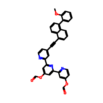 COc1ccccc1-c1cccc2c(C#Cc3ccnc(-c4cc(OC=O)cc(-c5cc(OC=O)ccn5)n4)c3)cccc12